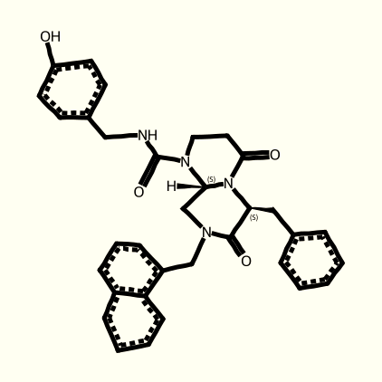 O=C1[C@H](Cc2ccccc2)N2C(=O)CCN(C(=O)NCc3ccc(O)cc3)[C@H]2CN1Cc1cccc2ccccc12